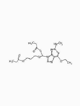 CCOc1nc(NC)nc2c1ncn2C(OCCCOC(=O)CC)OC(=O)CC